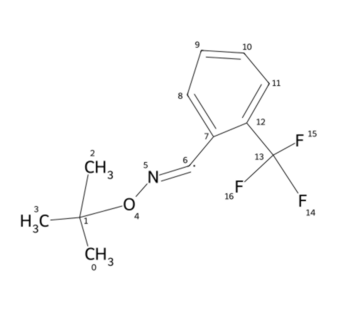 CC(C)(C)O/N=[C]/c1ccccc1C(F)(F)F